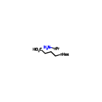 CCCCCCCCCC(=O)O.CCCN